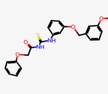 COc1cccc(COc2cccc(NC(=S)NC(=O)COc3ccccc3)c2)c1